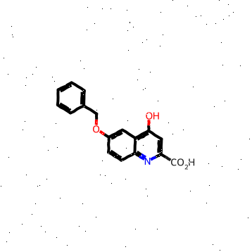 O=C(O)c1cc(O)c2cc(OCc3ccccc3)ccc2n1